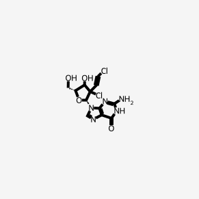 Nc1nc2c(ncn2[C@@H]2O[C@H](CO)C(O)C2(Cl)C#CCl)c(=O)[nH]1